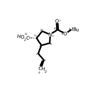 C=CCC1CN(C(=O)OC(C)(C)C)C[C@H]1C(=O)O